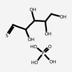 O=P(O)(O)O.OCC(O)C(O)C(O)C=S